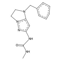 CNC(=O)Nc1cc2n(n1)CCN2Cc1ccccc1